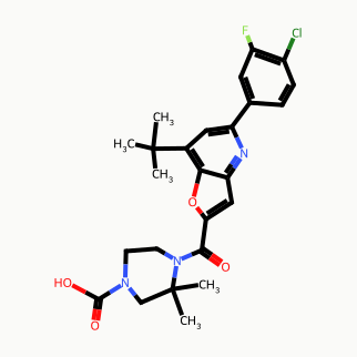 CC(C)(C)c1cc(-c2ccc(Cl)c(F)c2)nc2cc(C(=O)N3CCN(C(=O)O)CC3(C)C)oc12